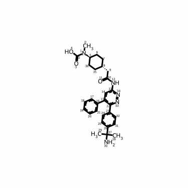 CN(C(=O)O)[C@H]1CC[C@H](CC(=O)Nc2cc(-c3ccccc3)c(-c3ccc(C(C)(C)N)cc3)nn2)CC1